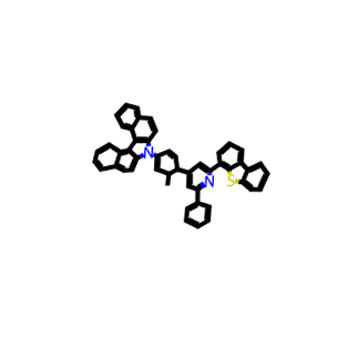 CC1C=C(n2c3ccc4ccccc4c3c3c4ccccc4ccc32)C=CC1c1cc(-c2ccccc2)nc(-c2cccc3c2sc2ccccc23)c1